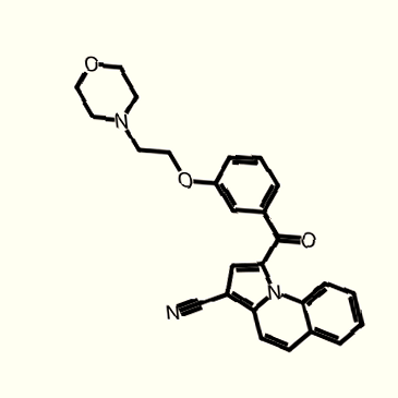 N#Cc1cc(C(=O)c2cccc(OCCN3CCOCC3)c2)n2c1ccc1ccccc12